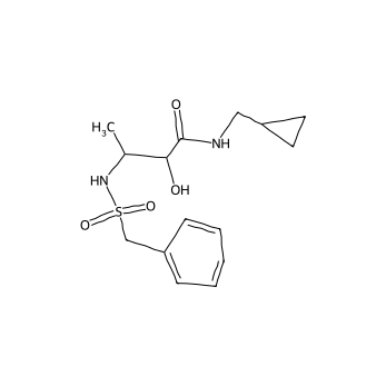 CC(NS(=O)(=O)Cc1ccccc1)C(O)C(=O)NCC1CC1